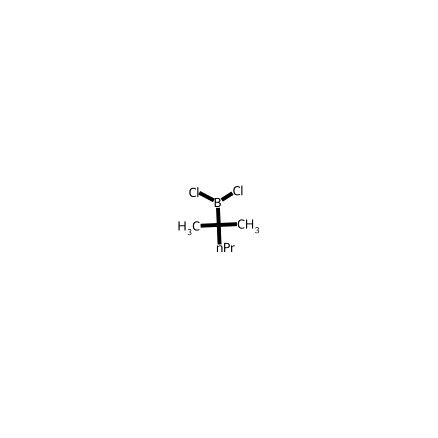 CCCC(C)(C)B(Cl)Cl